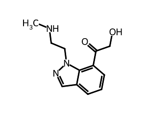 CNCCn1ncc2cccc(C(=O)CO)c21